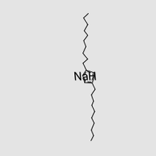 CCCCCCCCCCc1ccc(CCCCCCCCCC)cc1.[NaH]